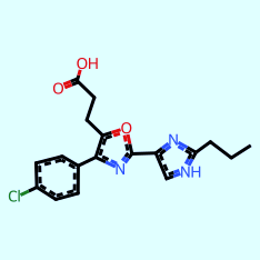 CCCc1nc(-c2nc(-c3ccc(Cl)cc3)c(CCC(=O)O)o2)c[nH]1